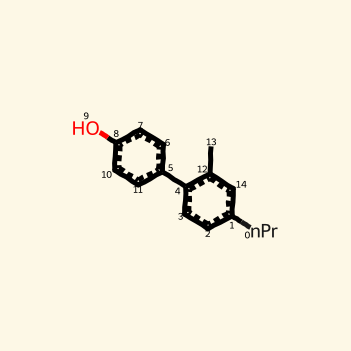 CCCc1ccc(-c2ccc(O)cc2)c(C)c1